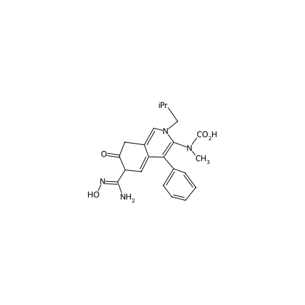 CC(C)CN1C=C2CC(=O)C(C(N)=NO)C=C2C(c2ccccc2)=C1N(C)C(=O)O